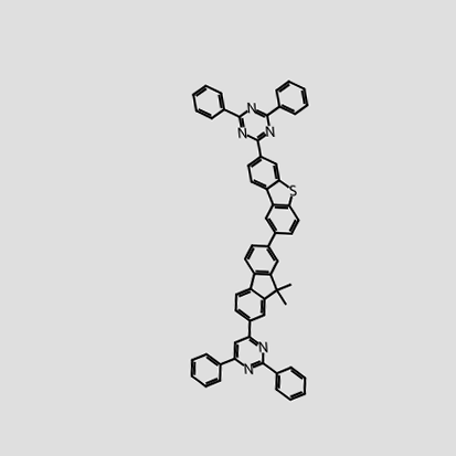 CC1(C)c2cc(-c3ccc4sc5cc(-c6nc(-c7ccccc7)nc(-c7ccccc7)n6)ccc5c4c3)ccc2-c2ccc(-c3cc(-c4ccccc4)nc(-c4ccccc4)n3)cc21